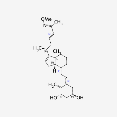 C=C1/C(=C\C=C2/CCC[C@]3(C)C([C@@H](C)C/C=C/C(C)=NOC)=CC[C@@H]23)C[C@@H](O)C[C@@H]1O